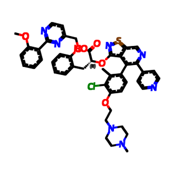 COc1ccccc1-c1nccc(COc2ccccc2C[C@@H](Oc2nsc3cnc(-c4ccncc4)c(-c4ccc(OCCN5CCN(C)CC5)c(Cl)c4C)c23)C(=O)O)n1